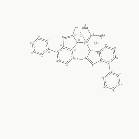 CCCC[Si](CCCC)=[Zr]([Cl])([Cl])([CH]1C(C)=Cc2c(-c3ccccc3)cccc21)[CH]1C(C)=Cc2c(-c3ccccc3)cccc21